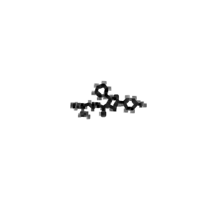 CN(C)CCNC(=O)c1nc(-c2ccc(F)cc2)oc1-c1ccccc1